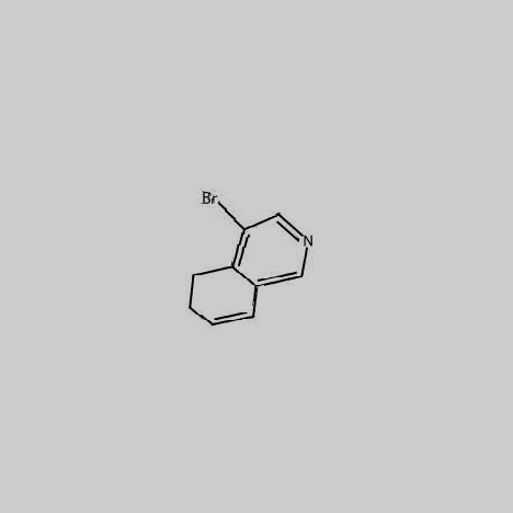 Brc1cncc2c1CCC=C2